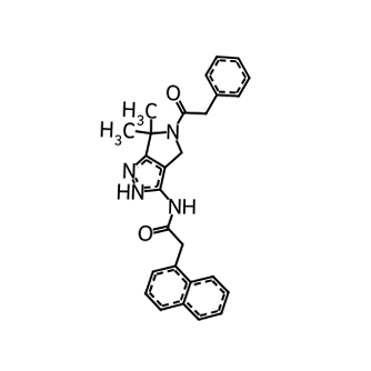 CC1(C)c2n[nH]c(NC(=O)Cc3cccc4ccccc34)c2CN1C(=O)Cc1ccccc1